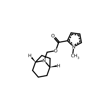 Cn1cccc1C(=O)OCN1[C@@H]2CCC[C@H]1CC2